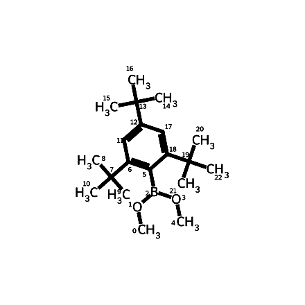 COB(OC)c1c(C(C)(C)C)cc(C(C)(C)C)cc1C(C)(C)C